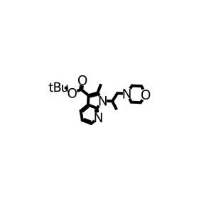 Cc1c(C(=O)OC(C)(C)C)c2cccnc2n1C(C)CN1CCOCC1